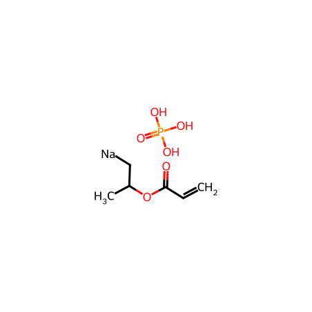 C=CC(=O)OC(C)[CH2][Na].O=P(O)(O)O